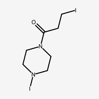 O=C(CCI)N1CCN(I)CC1